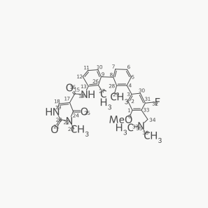 COc1cc(-c2cccc(-c3cccc(NC(=O)c4c[nH]c(=O)n(C)c4=O)c3C)c2C)cc(F)c1CN(C)C